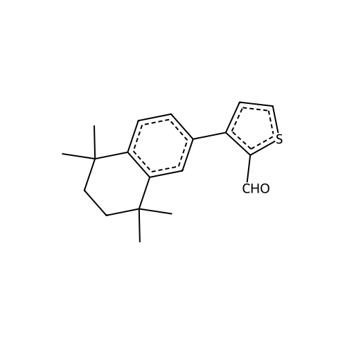 CC1(C)CCC(C)(C)c2cc(-c3ccsc3C=O)ccc21